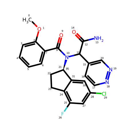 COc1ccccc1C(=O)N(C(C(N)=O)c1ccnnc1)[C@@H]1CCc2c(F)cc(Cl)cc21